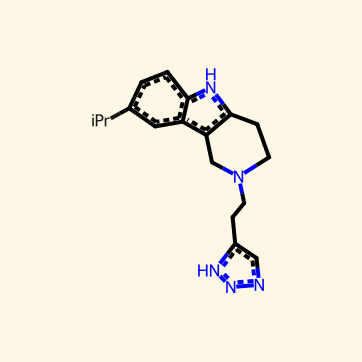 CC(C)c1ccc2[nH]c3c(c2c1)CN(CCc1cnn[nH]1)CC3